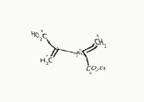 C=C(CCCC)C(=O)O.C=CC(=O)OCC